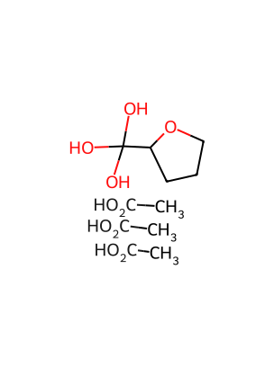 CC(=O)O.CC(=O)O.CC(=O)O.OC(O)(O)C1CCCO1